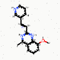 COc1cccc2c(C)nc(/C=C/c3cccnc3)nc12